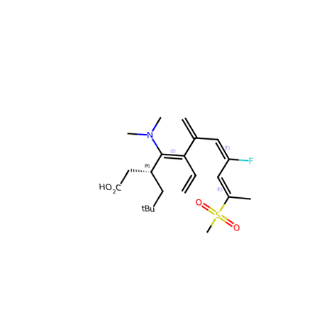 C=C/C(C(=C)/C=C(F)\C=C(/C)S(C)(=O)=O)=C(\[C@@H](CC(=O)O)CC(C)(C)C)N(C)C